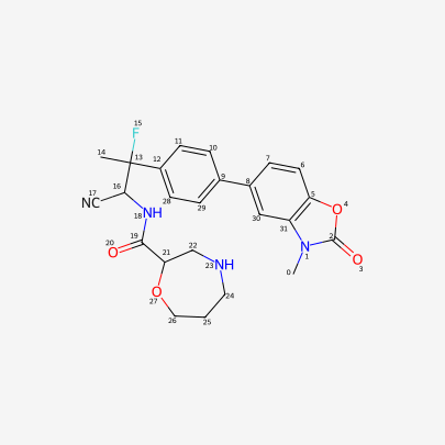 Cn1c(=O)oc2ccc(-c3ccc(C(C)(F)C(C#N)NC(=O)C4CNCCCO4)cc3)cc21